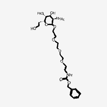 CC(=O)N[C@H]1C(OCCOCCOCCOCCNC(=O)OCc2ccccc2)O[C@H](CCO)[C@H](O)[C@@H]1O